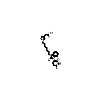 O=C(O)Cc1cnn(CCCCCCCn2c(=O)n(C3CCC(=O)NC3=O)c3ccccc32)c1